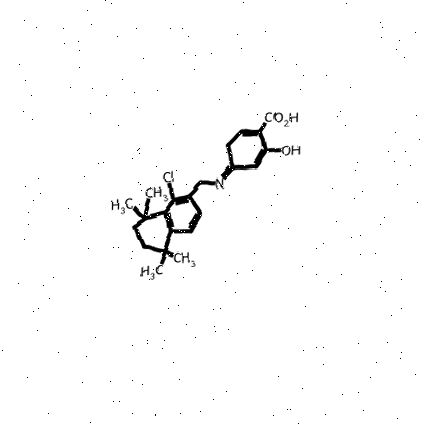 CC1(C)CCC(C)(C)c2c1ccc(CN=C1C=C(O)C(C(=O)O)=CC1)c2Cl